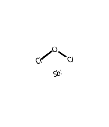 ClOCl.[Sb]